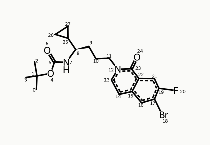 CC(C)(C)OC(=O)N[C@H](CCCn1ccc2cc(Br)c(F)cc2c1=O)C1CC1